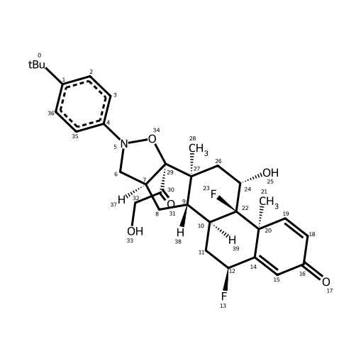 CC(C)(C)c1ccc(N2C[C@@H]3C[C@H]4[C@@H]5C[C@H](F)C6=CC(=O)C=C[C@]6(C)[C@@]5(F)[C@@H](O)C[C@]4(C)[C@]3(C(=O)CO)O2)cc1